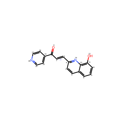 O=C(/C=C/c1ccc2cccc(O)c2n1)c1ccncc1